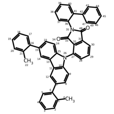 Cc1ccccc1-c1ccc2c(c1)c1cc(-c3ccccc3C)ccc1n2-c1cccc2c1C(=O)N(c1ccccc1-c1ccccc1)C2=O